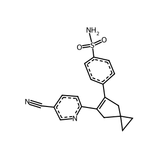 N#Cc1ccc(C2=C(c3ccc(S(N)(=O)=O)cc3)CC3(CC3)C2)nc1